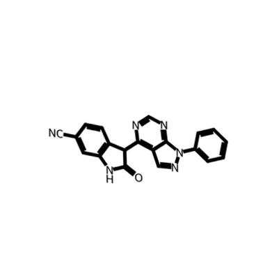 N#Cc1ccc2c(c1)NC(=O)C2c1ncnc2c1cnn2-c1ccccc1